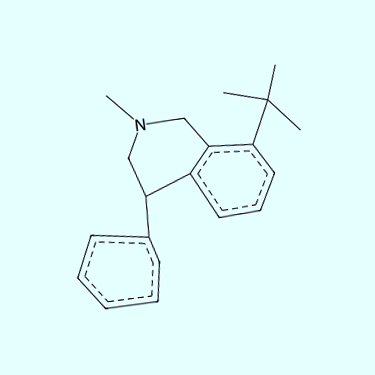 CN1Cc2c(cccc2C(C)(C)C)C(c2ccccc2)C1